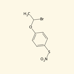 CC(Br)Oc1ccc(S[N+](=O)[O-])cc1